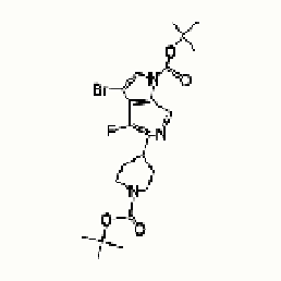 CC(C)(C)OC(=O)N1CCC(c2ncc3c(c(Br)cn3C(=O)OC(C)(C)C)c2F)CC1